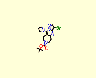 CC(C)(C)OC(=O)N1CCc2nc3c(Br)cnn3c(N3CCC3)c2CC1